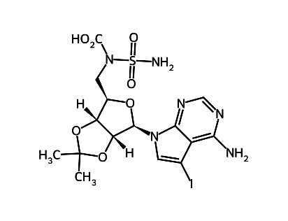 CC1(C)O[C@@H]2[C@H](O1)[C@@H](CN(C(=O)O)S(N)(=O)=O)O[C@H]2n1cc(I)c2c(N)ncnc21